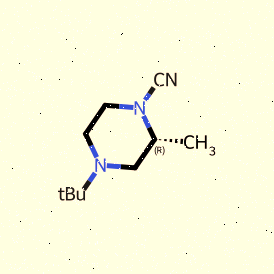 C[C@@H]1CN(C(C)(C)C)CCN1C#N